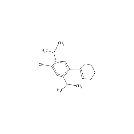 CC(C)c1cc(C2=CCCCC2)c(C(C)C)cc1Cl